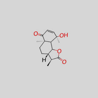 C[C@@H]1C(=O)OC2C3[C@@](C)(CC[C@H]21)C(=O)C=C[C@@]3(C)O